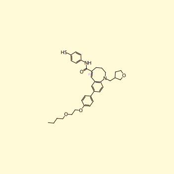 CCCCOCCOc1ccc(-c2ccc3c(c2)/C=C(/C(=O)Nc2ccc(S)cc2)CCCN3CC2CCOC2)cc1